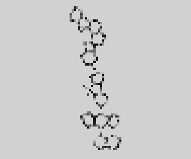 CC1(C)c2cc(-c3ccc4sc5c(ccc6ccc7c8ccccc8sc7c65)c4c3)ccc2-c2ccc(-c3c4ccccc4c(-c4cccc5ccccc45)c4ccccc34)cc21